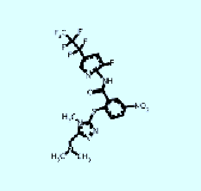 CN(C)Cc1nnc(Sc2ccc([N+](=O)[O-])cc2C(=O)Nc2ncc(C(F)(F)C(F)(F)C(F)(F)F)cc2F)n1C